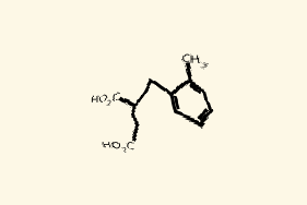 Cc1ccccc1CC(CC(=O)O)C(=O)O